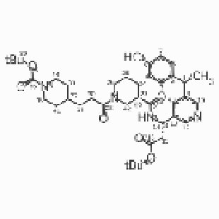 CC(c1ccc(O)cc1)c1cncc([C@H](CC(=O)OC(C)(C)C)NC(=O)[C@@H]2CCCN(C(=O)CCC3CCN(C(=O)OC(C)(C)C)CC3)C2)c1